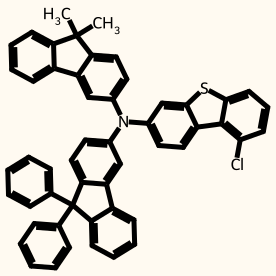 CC1(C)c2ccccc2-c2cc(N(c3ccc4c(c3)-c3ccccc3C4(c3ccccc3)c3ccccc3)c3ccc4c(c3)sc3cccc(Cl)c34)ccc21